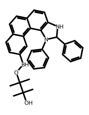 CC(C)(O)C(C)(C)OBc1ccc2ccc3ccc4c(c3c2c1)N(c1ccccc1)C(c1ccccc1)N4